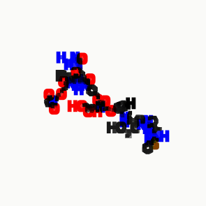 Cc1c(Nc2nc3ccccc3s2)nnc2c1CCCN2c1ccc(-c2cnn(CC34CC5C[C@H](C3)CC(OCCN(CC[C@H](O)CO)C(=O)OCc3ccc(NC(=O)[C@H](CCCNC(N)=O)NC(=O)[C@@H](NC(=O)CCOCCN6C(=O)C=CC6=O)C(C)C)cc3)(C5)C4)c2C)c(C(=O)O)n1